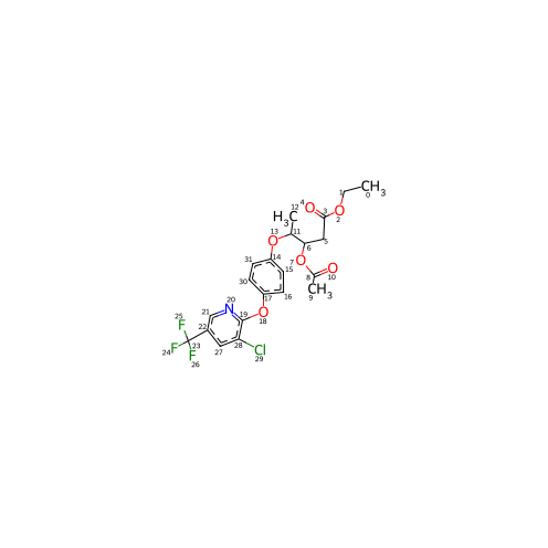 CCOC(=O)CC(OC(C)=O)C(C)Oc1ccc(Oc2ncc(C(F)(F)F)cc2Cl)cc1